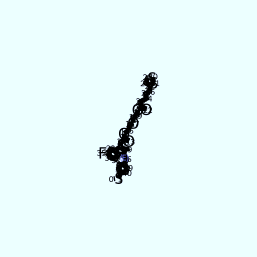 CSc1ccc(/C=C2/C(C)=C(CC(=O)OCCOCCOC(=O)CCCCC3CCSS3)c3cc(F)ccc32)cc1